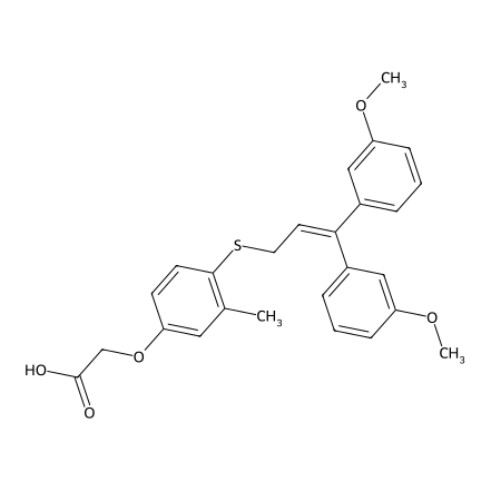 COc1cccc(C(=CCSc2ccc(OCC(=O)O)cc2C)c2cccc(OC)c2)c1